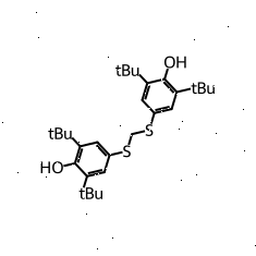 CC(C)(C)c1cc(SCSc2cc(C(C)(C)C)c(O)c(C(C)(C)C)c2)cc(C(C)(C)C)c1O